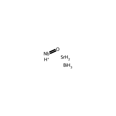 [BiH3].[H+].[O]=[Nb].[SrH2]